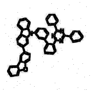 c1ccc(-c2nc(-c3ccccc3)nc(-c3ccccc3-c3cccc(-n4c5ccccc5c5ccc(-c6ccc7oc8ccccc8c7c6)cc54)c3)n2)cc1